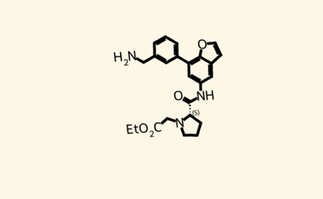 CCOC(=O)CN1CCC[C@H]1C(=O)Nc1cc(-c2cccc(CN)c2)c2occc2c1